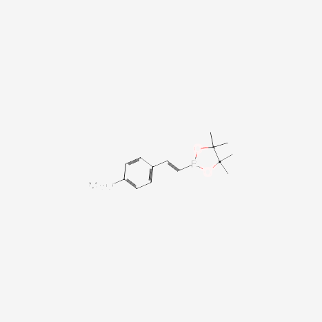 COc1ccc(C=CB2OC(C)(C)C(C)(C)O2)cc1